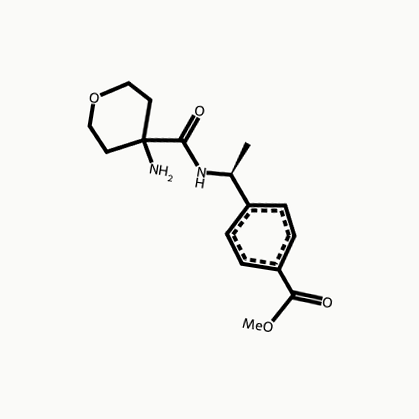 COC(=O)c1ccc([C@H](C)NC(=O)C2(N)CCOCC2)cc1